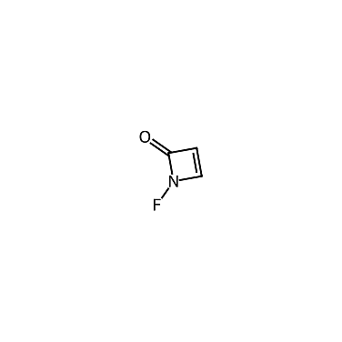 O=C1C=CN1F